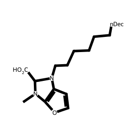 CCCCCCCCCCCCCCCCN1c2ccoc2N(C)C1C(=O)O